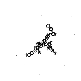 CC1(C)CCC(CN2CCN(c3ccc(C(=O)NS(=O)(=O)c4cnc(OC[C@H]5CC[C@@](C)(O)CC5)c(C#N)c4)c(Oc4cc(F)cc5c4cnn5COCC[Si](C)(C)C)c3)CC2)=C(c2ccc(Cl)cc2)C1